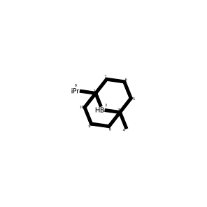 CC(C)C12BC(C)(CCC1)CCC2